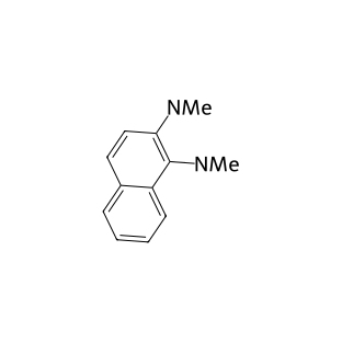 CNc1ccc2ccccc2c1NC